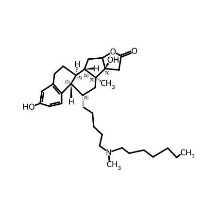 CCCCCCCN(C)CCCCC[C@H]1C[C@@]2(C)[C@@H](CC3OC(=O)C[C@@]32O)[C@@H]2CCc3cc(O)ccc3[C@@H]12